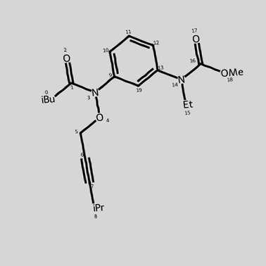 CCC(C)C(=O)N(OCC#CC(C)C)c1cccc(N(CC)C(=O)OC)c1